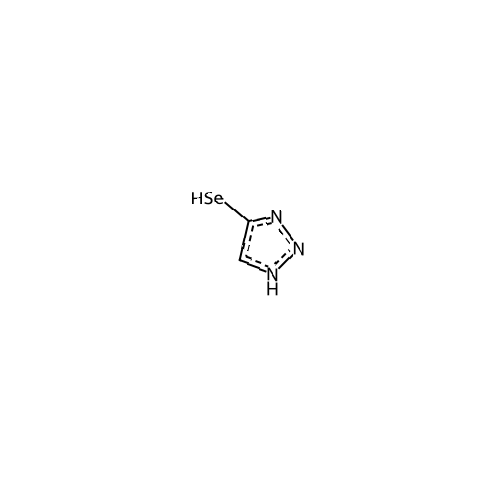 [SeH]c1c[nH]nn1